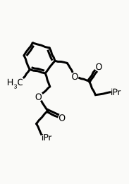 Cc1cccc(COC(=O)CC(C)C)c1COC(=O)CC(C)C